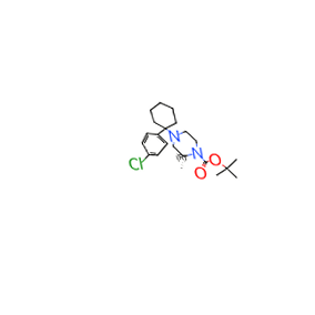 C[C@@H]1CN(C2(c3ccc(Cl)cc3)CCCCC2)CCN1C(=O)OC(C)(C)C